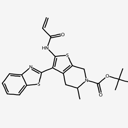 C=CC(=O)Nc1sc2c(c1-c1nc3ccccc3s1)CC(C)N(C(=O)OC(C)(C)C)C2